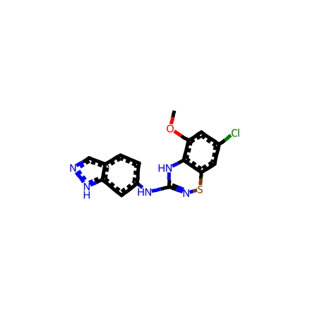 COc1cc(Cl)cc2c1NC(Nc1ccc3cn[nH]c3c1)=NS2